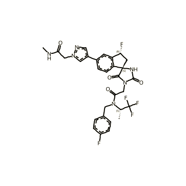 CNC(=O)Cn1cc(-c2ccc3c(c2)[C@H](F)C[C@]32NC(=O)N(CC(=O)N(Cc3ccc(F)cc3)[C@@H](C)C(F)(F)F)C2=O)cn1